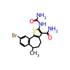 CC1CCc2c(sc(NC(N)=O)c2C(N)=O)-c2cc(Br)ccc21